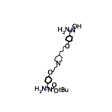 CC(C)(C)OC(=O)/N=C(/N)c1ccc(OCCCN2CCC(CCCOc3ccc(/C(N)=N/O)cc3)CC2)cc1